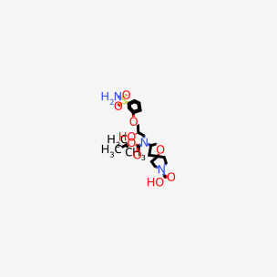 CC(C)(C)OC(=O)N(C[C@H](O)COc1cccc(S(N)(=O)=O)c1)C1COC2(CCN(C(=O)O)CC2)C1